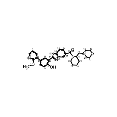 COc1ncccc1-c1ccc(O)c(-c2nc3cc(C(=O)N4CCCCC4CN4CCOCC4)ccc3[nH]2)c1